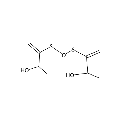 C=C(SOSC(=C)C(C)O)C(C)O